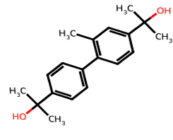 Cc1cc(C(C)(C)O)ccc1-c1ccc(C(C)(C)O)cc1